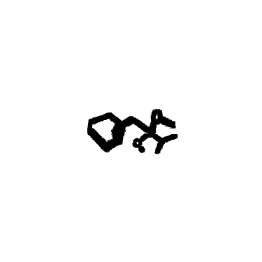 CO[Si](Cc1ccccc1)(OC)C(C)C